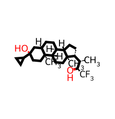 C[C@@H]([C@H]1CC[C@H]2[C@@H]3CC[C@@H]4C[C@@](O)(C5CC5)CC[C@]4(C)[C@H]3CC[C@]12C)[C@H](O)C(F)(F)F